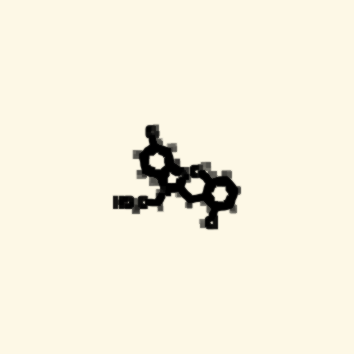 O=C(O)Cn1c(Cc2c(Cl)cccc2Cl)nc2cc(Cl)ccc21